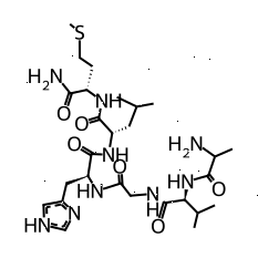 CSCC[C@H](NC(=O)[C@H](CC(C)C)NC(=O)[C@H](Cc1c[nH]cn1)NC(=O)CNC(=O)[C@@H](NC(=O)C(C)N)C(C)C)C(N)=O